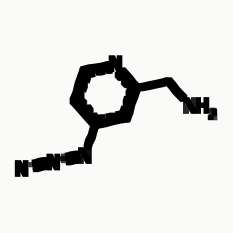 [N-]=[N+]=Nc1ccnc(CN)c1